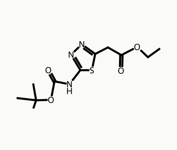 CCOC(=O)Cc1nnc(NC(=O)OC(C)(C)C)s1